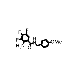 COc1ccc(CNC(=O)c2cc(F)c(F)c(F)c2N)cc1